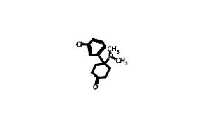 CN(C)C1(c2cccc(Cl)c2)CCC(=O)CC1